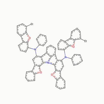 CCc1cccc2c1oc1c(N(c3ccccc3)c3cc4c5ccccc5oc4c4c3c3cccc5c6c(N(c7ccccc7)c7cccc8c7oc7c(CC)cccc78)cc7c8ccccc8oc7c6n4c35)cccc12